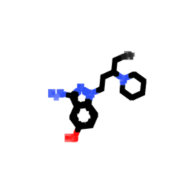 CC(C)CC(CCn1nc(N)c2cc(O)ccc21)N1CCCCC1